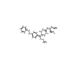 CC(C)CCN(c1ccc(CCc2ccccc2)cc1)C1CCN(CC(N)CC(C)C)CC1